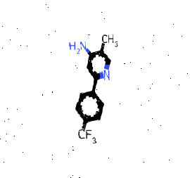 Cc1cnc(-c2ccc(C(F)(F)F)cc2)cc1N